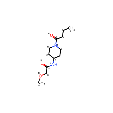 CCCC(=O)N1CCC(NC(=O)COC)CC1